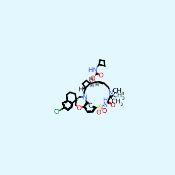 CN1CC=C[C@H](OC(=O)NC2CCC2)[C@@H]2CC[C@H]2CN2C[C@@]3(CCCc4cc(Cl)ccc43)COc3ccc(cc32)S(=O)(=O)NC(=O)C1(C)C